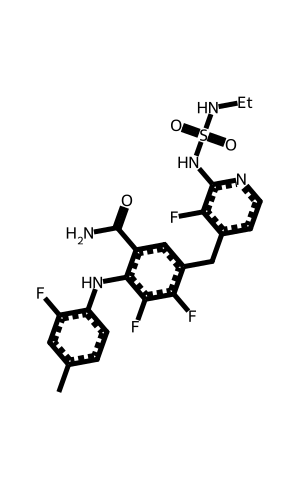 CCNS(=O)(=O)Nc1nccc(Cc2cc(C(N)=O)c(Nc3ccc(C)cc3F)c(F)c2F)c1F